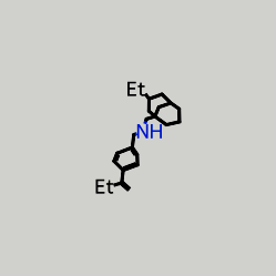 C=C(CC)c1ccc(CNCC23CCCC(CC(CC)C2)C3)cc1